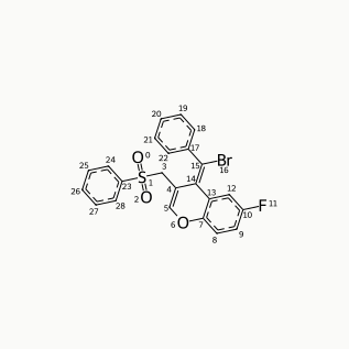 O=S(=O)(CC1=COc2ccc(F)cc2/C1=C(\Br)c1ccccc1)c1ccccc1